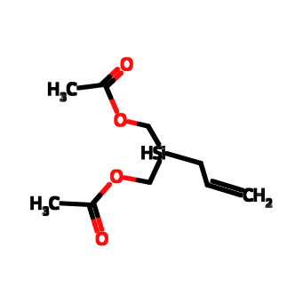 C=CC[SiH](COC(C)=O)COC(C)=O